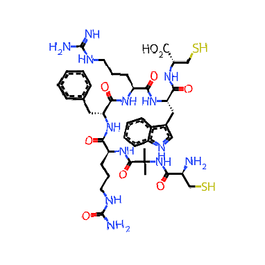 CC(C)(NC(=O)[C@@H](N)CS)C(=O)N[C@@H](CCCNC(N)=O)C(=O)N[C@H](Cc1ccccc1)C(=O)N[C@@H](CCCNC(=N)N)C(=O)N[C@@H](Cc1c[nH]c2ccccc12)C(=O)N[C@@H](CS)C(=O)O